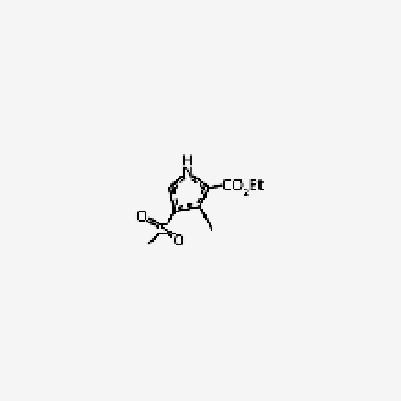 CCOC(=O)c1[nH]cc(S(C)(=O)=O)c1C